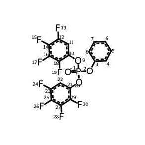 O=P(Oc1ccccc1)(Oc1cc(F)c(F)c(F)c1F)Oc1cc(F)c(F)c(F)c1F